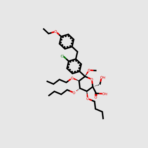 CCCCO[C@@H]1[C@@H](OCCCC)[C@](OC)(c2ccc(Cl)c(Cc3ccc(OCC)cc3)c2)O[C@@](CO)(C(=O)O)[C@H]1OCCCC